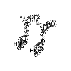 CCCc1cc(Oc2ccccc2)ccc1OCCCCOc1ccc(C2(C)NC(=O)SC2=O)cc1.CCCc1cc(Oc2ccccc2)ccc1OCCCCOc1ccc(C2(F)NC(=O)SC2=O)cc1